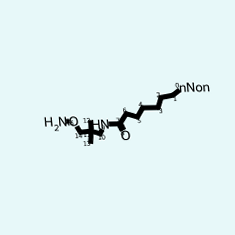 CCCCCCCCCCCCCCCC(=O)NCC(C)(C)CON